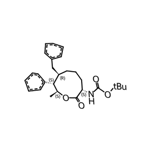 C[C@@H]1OC(=O)[C@@H](NC(=O)OC(C)(C)C)CCC[C@H](Cc2ccccc2)[C@H]1c1ccccc1